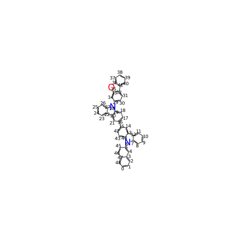 c1ccc2cc(-n3c4ccccc4c4cc(-c5ccc6c(c5)c5ccccc5n6-c5ccc6c(c5)oc5ccccc56)ccc43)ccc2c1